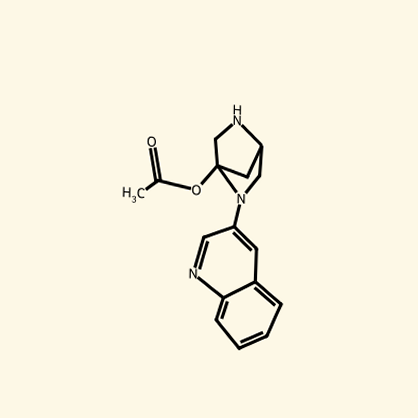 CC(=O)OC12CNC(CN1c1cnc3ccccc3c1)C2